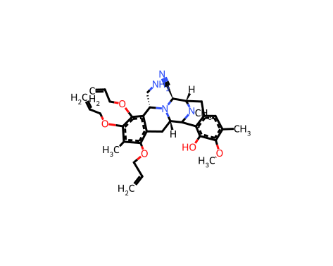 C=CCOc1c(C)c(OCC=C)c(OCC=C)c2c1C[C@H]1C3c4c(cc(C)c(OC)c4O)C[C@@H]([C@H](C#N)N1[C@H]2CN)N3C